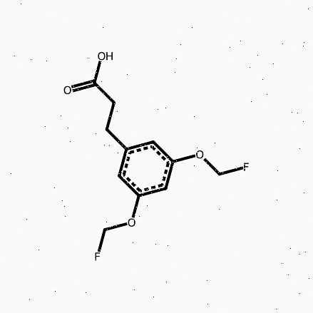 O=C(O)CCc1cc(OCF)cc(OCF)c1